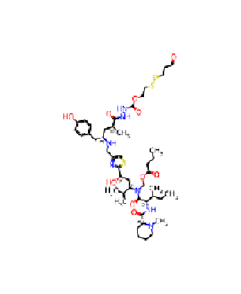 CCCC(=O)OCN(C(=O)[C@@H](NC(=O)[C@H]1CCCCN1C)C(C)CC)[C@H](C[C@@H](O)c1nc(CN[C@@H](Cc2ccc(O)cc2)C[C@H](C)C(=O)NNC(=O)OCCSSCCC=O)cs1)C(C)C